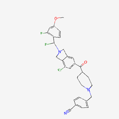 COc1ccc(C(F)N2Cc3cc(C(=O)C4CCN(Cc5ccc(C#N)cc5)CC4)cc(Cl)c3C2)c(F)c1